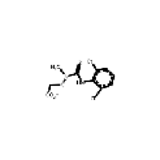 CCc1cccc(Cl)c1NC(=S)N(C)OCC(=O)O